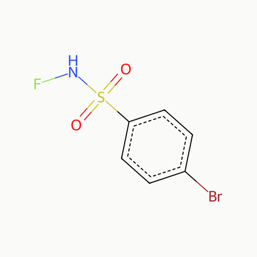 O=S(=O)(NF)c1ccc(Br)cc1